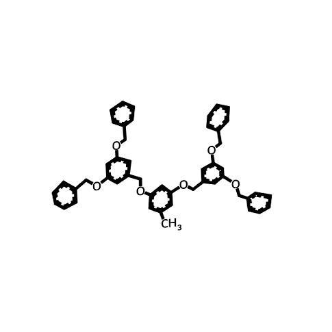 Cc1cc(OCc2cc(OCc3ccccc3)cc(OCc3ccccc3)c2)cc(OCc2cc(OCc3ccccc3)cc(OCc3ccccc3)c2)c1